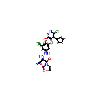 CCN(C(=O)O)C(=O)C(C#N)NNc1cc(Cl)c(Oc2cc(C3CCCC3)c(Cl)nn2)c(Cl)c1